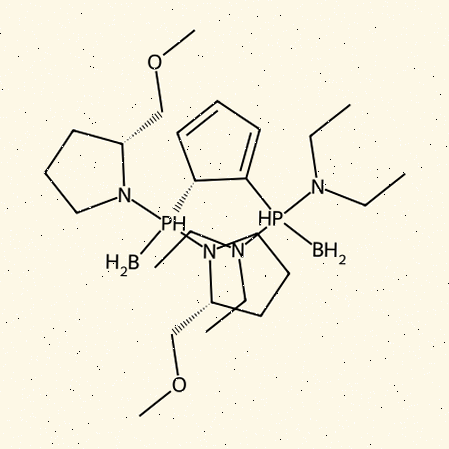 B[PH](C1=CC=C[C@H]1[PH](B)(N1CCC[C@@H]1COC)N1CCC[C@@H]1COC)(N(CC)CC)N(CC)CC